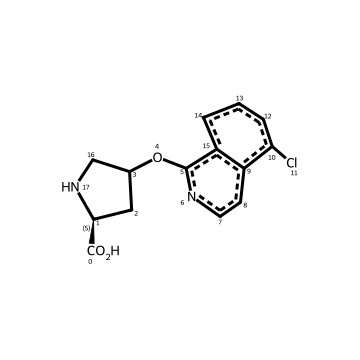 O=C(O)[C@@H]1CC(Oc2nccc3c(Cl)cccc23)CN1